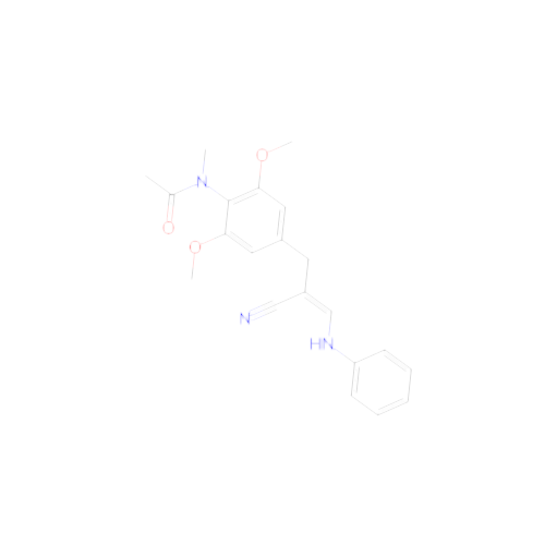 COc1cc(C/C(C#N)=C/Nc2ccccc2)cc(OC)c1N(C)C(C)=O